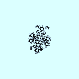 CC(C)c1cc(C(C)C)cc(N2C(=O)c3cc(Oc4ccccc4)c4c5c(Oc6ccccc6)cc6c7c(cc(Oc8ccccc8)c(c8c(Oc9ccccc9)cc(c3c48)C2=O)c75)C(=O)N(c2c(C(C)C)cccc2C(C)C)C6=O)c1